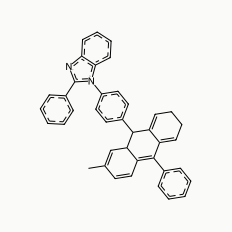 CC1=CC2C(=C(c3ccccc3)C3=CCCC=C3C2c2ccc(-n3c(-c4ccccc4)nc4ccccc43)cc2)C=C1